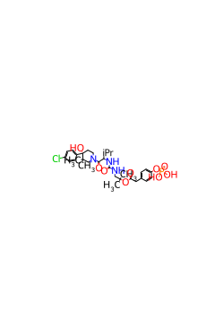 CC(C)[C@@H](NC(=O)NCC(C)(C)OC(=O)Cc1ccc(OP(=O)(O)O)cc1)C(=O)N1CC[C@](O)(c2ccc(Cl)cc2)C(C)(C)C1